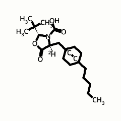 [2H][C@]1(CC23CCC(CCCCC)(CC2)CC3)C(=O)O[C@H](C(C)(C)C)N1C(=O)O